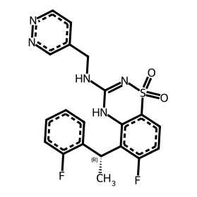 C[C@H](c1ccccc1F)c1c(F)ccc2c1NC(NCc1ccnnc1)=NS2(=O)=O